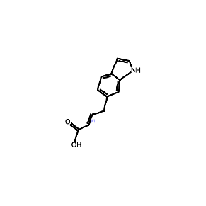 O=C(O)/C=C/Cc1ccc2cc[nH]c2c1